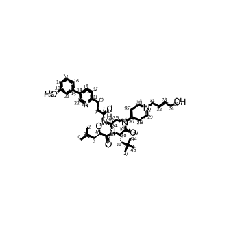 CC(C)C[C@H]1ON(C(=O)CCc2ccc(-c3cccc(O)c3)cn2)[C@H]2CN(C3CCN(CCCCO)CC3)C(=O)[C@H](CC(C)(C)C)N2C1=O